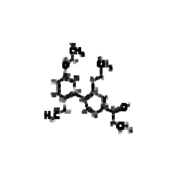 CCCc1cc(C(=O)CC)ccc1-c1cc(OCC)ccc1CC